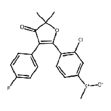 C[S+]([O-])c1ccc(C2=C(c3ccc(F)cc3)C(=O)C(C)(C)O2)c(Cl)c1